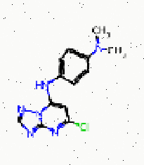 CN(C)c1ccc(Nc2cc(Cl)nc3ncnn23)cc1